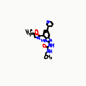 CCNC(=O)Nc1nc2cc(-c3cccnc3)cc(-c3ncc(C)o3)c2[nH]1